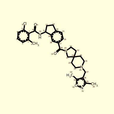 Cc1cccc(Cl)c1C(=O)NC1CCc2ccc(C(=O)N3CCC4(CCN(Cc5c(C)noc5C)CC4)C3)cc21